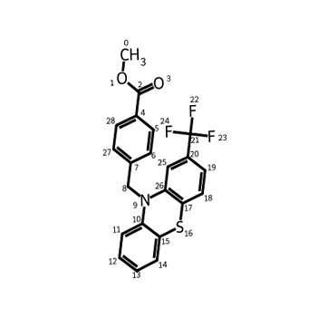 COC(=O)c1ccc(CN2c3ccccc3Sc3ccc(C(F)(F)F)cc32)cc1